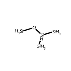 [SiH3]O[SiH]([SiH3])[SiH3]